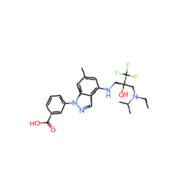 CCN(CC(O)(CNc1cc(C)cc2c1cnn2-c1cccc(C(=O)O)c1)C(F)(F)F)C(C)C